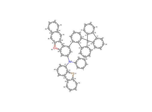 c1ccc(N(c2cc(-c3cccc4c3-c3ccccc3C43c4ccccc4-c4ccccc43)c3c(c2)oc2cc4ccccc4cc23)c2cccc3c2sc2ccccc23)cc1